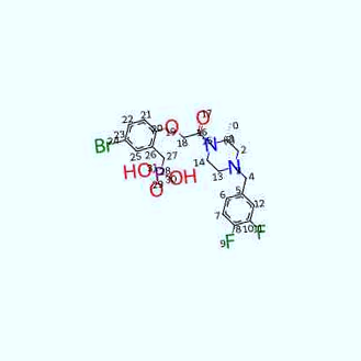 C[C@@H]1CN(Cc2ccc(F)c(F)c2)CCN1C(=O)COc1ccc(Br)cc1CP(=O)(O)O